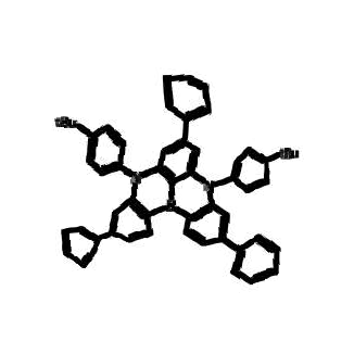 CC(C)(C)c1ccc(N2c3cc(-c4ccccc4)ccc3B3c4ccc(-c5ccccc5)cc4N(c4ccc(C(C)(C)C)cc4)c4cc(-c5ccccc5)cc2c43)cc1